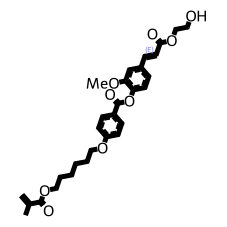 C=C(C)C(=O)OCCCCCCOc1ccc(C(=O)Oc2ccc(/C=C/C(=O)OCCO)cc2OC)cc1